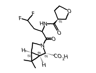 CC1(C)[C@@H]2[C@@H](C(=O)O)N(C(=O)C(CC(F)F)NC(=O)[C@H]3CCOC3)C[C@@H]21